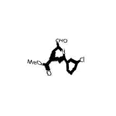 COC(=O)c1cc(C=O)nc(-c2cccc(Cl)c2)c1